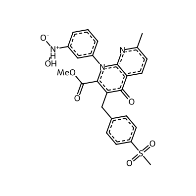 COC(=O)c1c(Cc2ccc(S(C)(=O)=O)cc2)c(=O)c2ccc(C)nc2n1-c1cccc([NH+]([O-])O)c1